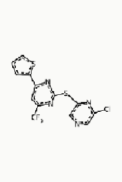 FC(F)(F)c1cc(-c2cccs2)nc(Sc2cncc(Cl)n2)n1